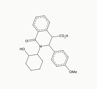 COc1ccc(C2C(C(=O)O)c3ccccc3C(=O)N2C2CCCCC2O)cc1